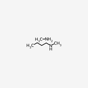 CCCCNC.CN